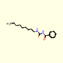 CCCCCCCCCNC(=S)NC(=O)c1ccccc1